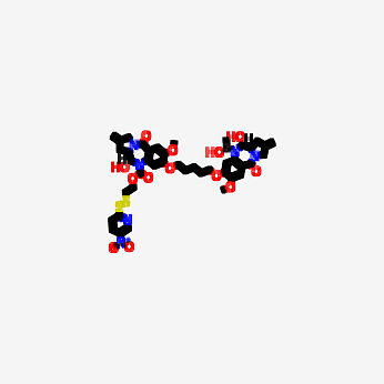 C=C1C[C@H]2[C@H](O)N(B(C)O)c3cc(OCCCCCOc4cc5c(cc4OC)C(=O)N4CC(=C)C[C@H]4[C@H](O)N5C(=O)OCCSSc4ccc([N+](=O)[O-])cn4)c(OC)cc3C(=O)N2C1